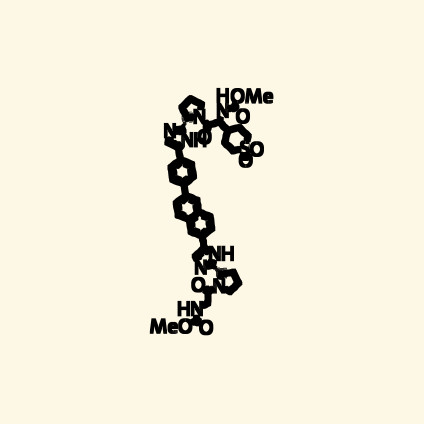 COC(=O)NCC(=O)N1CCC[C@H]1c1ncc(-c2ccc3cc(-c4ccc(-c5cnc([C@@H]6CCCN6C(=O)C(NC(=O)OC)C6CCS(=O)(=O)CC6)[nH]5)cc4)ccc3c2)[nH]1